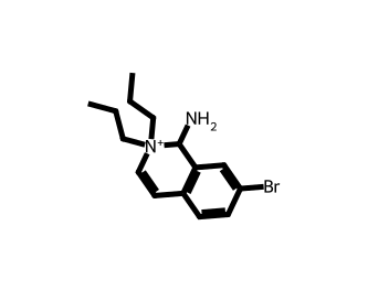 CCC[N+]1(CCC)C=Cc2ccc(Br)cc2C1N